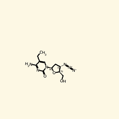 CCc1cn([C@H]2C[C@H](N=[N+]=[N-])[C@@H](CO)O2)c(=O)nc1N